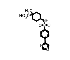 CC1(C(=O)O)CCC(NS(=O)(=O)c2ccc(-c3cocn3)cc2)CC1